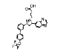 O=C(O)CCCN1N=C(c2cccc(-c3ccc(OC(F)(F)F)cc3)c2)CC1c1ccc2nccnc2c1